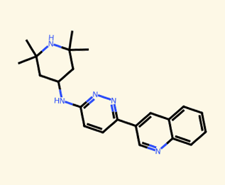 CC1(C)CC(Nc2ccc(-c3cnc4ccccc4c3)nn2)CC(C)(C)N1